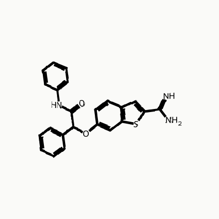 N=C(N)c1cc2ccc(OC(C(=O)Nc3ccccc3)c3ccccc3)cc2s1